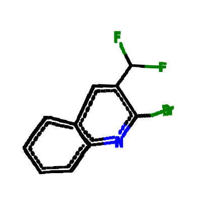 FC(F)c1cc2ccccc2nc1Br